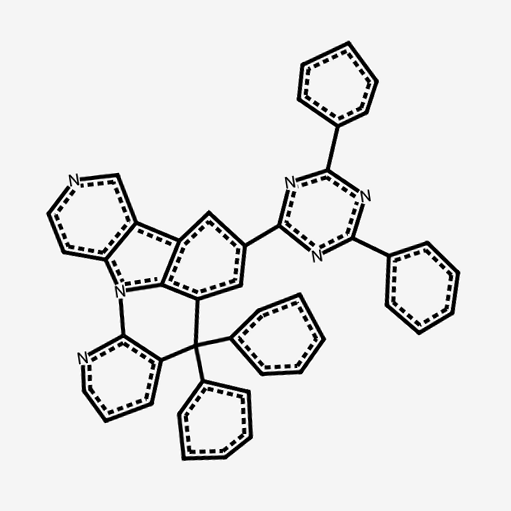 c1ccc(-c2nc(-c3ccccc3)nc(-c3cc4c5c(c3)c3cnccc3n5-c3ncccc3C4(c3ccccc3)c3ccccc3)n2)cc1